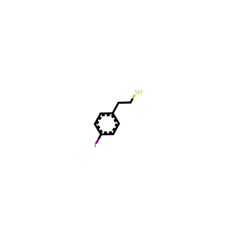 SCCc1ccc(I)cc1